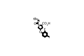 CC(C)(C)OC(=O)N1C[C@H](Oc2ccc(I)cc2F)C[C@H]1C(=O)O